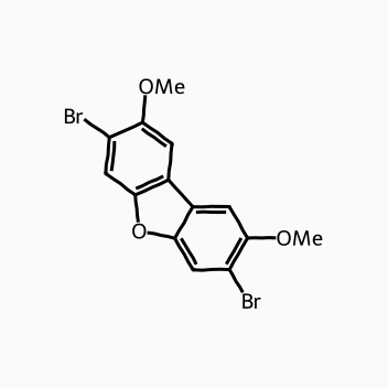 COc1cc2c(cc1Br)oc1cc(Br)c(OC)cc12